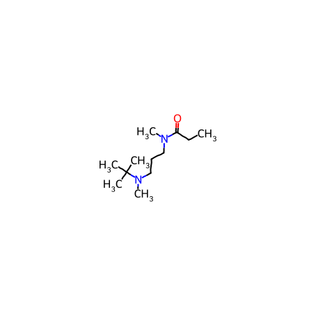 CCC(=O)N(C)CCCN(C)C(C)(C)C